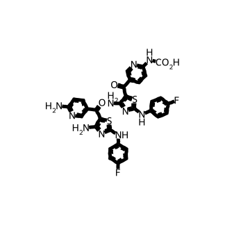 Nc1ccc(C(=O)c2sc(Nc3ccc(F)cc3)nc2N)cn1.Nc1nc(Nc2ccc(F)cc2)sc1C(=O)c1ccc(NC(=O)O)nc1